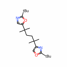 CC(C)(C)c1nc(C(C)(C)CCC(C)(C)c2cnc(C(C)(C)C)o2)co1